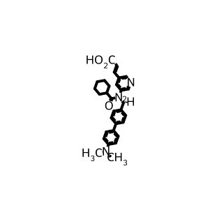 [2H][C@H](c1ccc(-c2ccc(N(C)C)cc2)cc1)N(C(=O)C1CCCCC1)c1cncc(/C=C/C(=O)O)c1